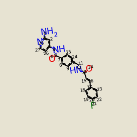 Nc1cc(NC(=O)c2ccc(CNC(=O)C=Cc3ccc(F)cc3)cc2)ccn1